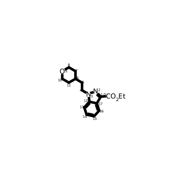 CCOC(=O)c1nn(CCC2CCOCC2)c2ccccc12